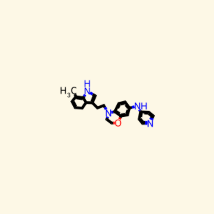 CC1=C2NC=C(CCN3CCOc4cc(Nc5ccncc5)ccc43)C2CC=C1